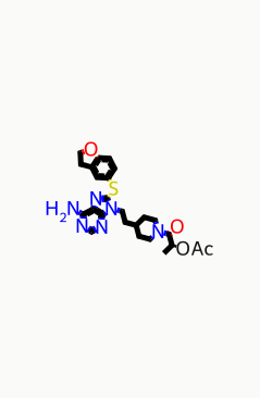 CC(=O)O[C@@H](C)C(=O)N1CCC(CCn2c(Sc3ccc4c(c3)CCO4)nc3c(N)ncnc32)CC1